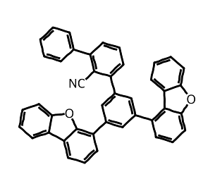 N#Cc1c(-c2ccccc2)cccc1-c1cc(-c2cccc3c2oc2ccccc23)cc(-c2cccc3oc4ccccc4c23)c1